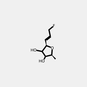 C[C@@H]1O[C@H](/C=C/CF)C(O)C1O